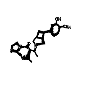 Cc1nc2sccn2c(=O)c1C(C)N1CC2CC(c3ccc(O)c(O)c3)C2C1